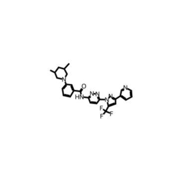 CC1CC(C)CN(c2cccc(C(=O)Nc3ccc(-n4nc(-c5cccnc5)cc4C(F)(F)F)nn3)c2)C1